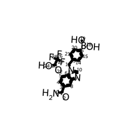 NC(=O)c1ccc2c(c1)ncn2Cc1ccc(B(O)O)cc1.O=C(O)C(F)(F)F